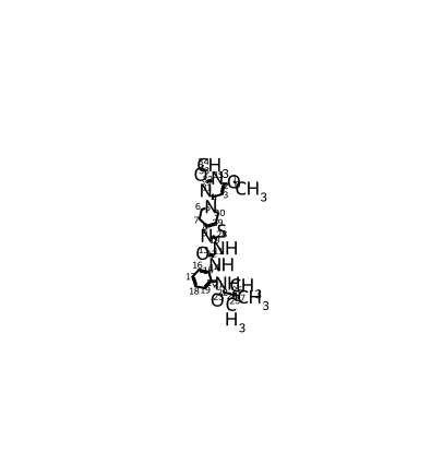 COc1cc(N2CCc3nc(NC(=O)Nc4ccccc4NC(=O)C(C)(C)C)sc3C2)nc(OC)n1